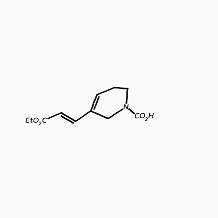 CCOC(=O)/C=C/C1=CCCN(C(=O)O)C1